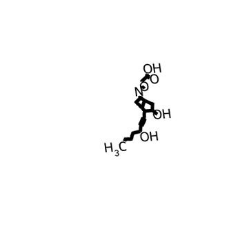 CCCCC(O)C#CC1C(O)CC2/C(=N\OCC(=O)O)CC21